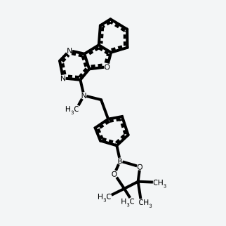 CN(Cc1ccc(B2OC(C)(C)C(C)(C)O2)cc1)c1ncnc2c1oc1ccccc12